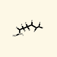 O[SiH2]C(F)C(F)(F)C(F)(F)C(F)C(F)C(F)F